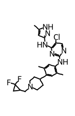 Cc1cc(Nc2nc(Nc3cc(C)c(C4CCN(CC5CC5(F)F)CC4)cc3C)ncc2Cl)n[nH]1